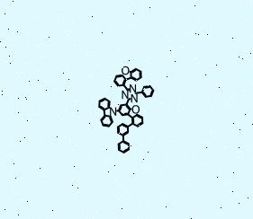 c1ccc(-c2cccc(-c3cccc4oc5c(-c6nc(-c7ccccc7)nc(-c7cccc8oc9ccccc9c78)n6)cc(-n6c7ccccc7c7ccccc76)cc5c34)c2)cc1